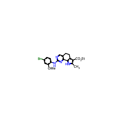 CCOC(=O)c1c(C)[nH]c2c1CCc1cnc(Nc3ccc(Br)cc3OC)nc1-2